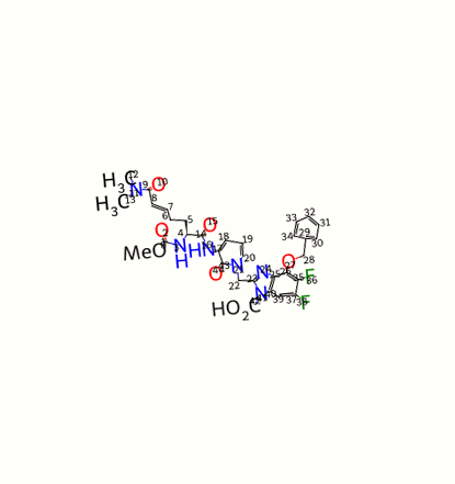 COC(=O)N[C@@H](CC/C=C/C(=O)N(C)C)C(=O)Nc1cccn(Cc2nc3c(OCc4ccccc4)c(F)c(F)cc3n2C(=O)O)c1=O